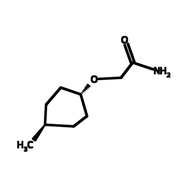 C[C@H]1CC[C@H](OCC(N)=O)CC1